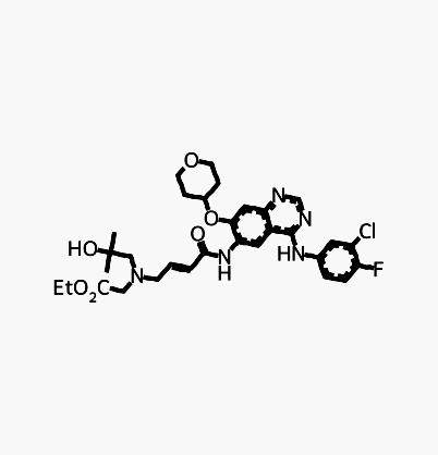 CCOC(=O)CN(CC=CC(=O)Nc1cc2c(Nc3ccc(F)c(Cl)c3)ncnc2cc1OC1CCOCC1)CC(C)(C)O